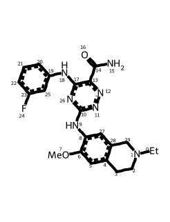 CCN1CCc2cc(OC)c(Nc3nnc(C(N)=O)c(Nc4cccc(F)c4)n3)cc2C1